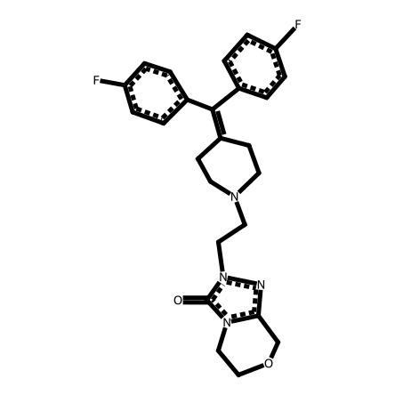 O=c1n(CCN2CCC(=C(c3ccc(F)cc3)c3ccc(F)cc3)CC2)nc2n1CCOC2